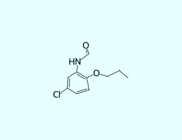 CCCOc1ccc(Cl)cc1NC=O